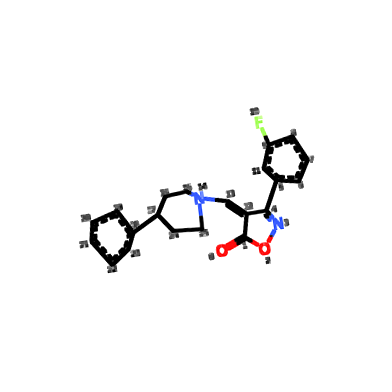 O=C1ON=C(c2cccc(F)c2)C1=CN1CCC(c2ccccc2)CC1